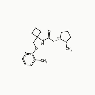 Cc1cccnc1OCC1(NC(=O)C[C@@H]2CCCN2C)CCC1